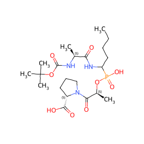 CCCCC(NC(=O)[C@H](C)NC(=O)OC(C)(C)C)P(=O)(O)O[C@@H](C)C(=O)N1CCC[C@H]1C(=O)O